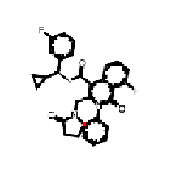 O=C(N[C@H](c1cccc(F)c1)C1CC1)c1c(CN2CCCC2=O)n(-c2ccccc2)c(=O)c2c(F)cccc12